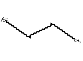 CCCCCCCCCCCCCCCCCCC1CC1CCCCCCCCCCCCCCC1CC1CCCCCCCCCCCCCCCCCC(=O)OC